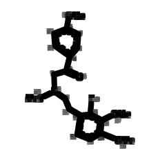 COc1ccc(C(=O)CN(CCc2ccc(OC)c(OC)c2F)SC)cc1